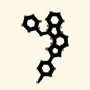 Fc1ccc(-c2cn3ccc4c5ccccc5n(Cc5ccccc5)c4c3n2)cc1